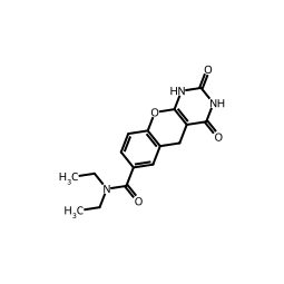 CCN(CC)C(=O)c1ccc2c(c1)Cc1c([nH]c(=O)[nH]c1=O)O2